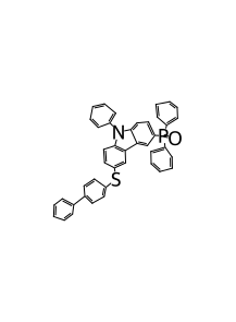 O=P(c1ccccc1)(c1ccccc1)c1ccc2c(c1)c1cc(Sc3ccc(-c4ccccc4)cc3)ccc1n2-c1ccccc1